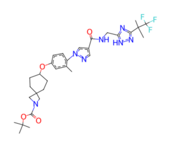 Cc1cc(OC2CCC3(CC2)CN(C(=O)OC(C)(C)C)C3)ccc1-n1cc(C(=O)NCc2nc(C(C)(C)C(F)(F)F)n[nH]2)cn1